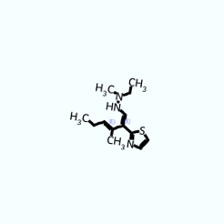 CC/C=C(C)/C(=C\NN(C)CC)c1nccs1